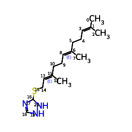 CC(C)=CCC/C(C)=C/CC/C(C)=C/CSC1N=CNN1